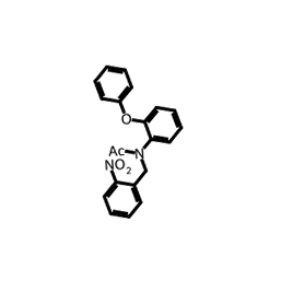 CC(=O)N(Cc1ccccc1[N+](=O)[O-])c1ccccc1Oc1ccccc1